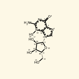 Nc1nc(=O)c2ncn([C@@H]3O[C@H](CO)[C@@H](O)[C@H]3O)c2n1S